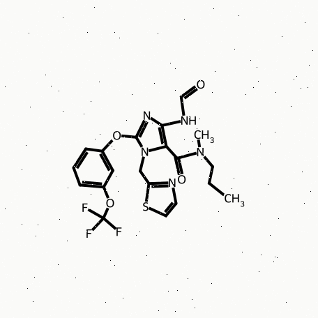 CCCN(C)C(=O)c1c(NC=O)nc(Oc2cccc(OC(F)(F)F)c2)n1Cc1nccs1